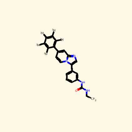 [2H]c1c([2H])c([2H])c(-c2ccn3c(-c4cccc(NC(=O)NCC(F)(F)F)c4)cnc3c2)c([2H])c1[2H]